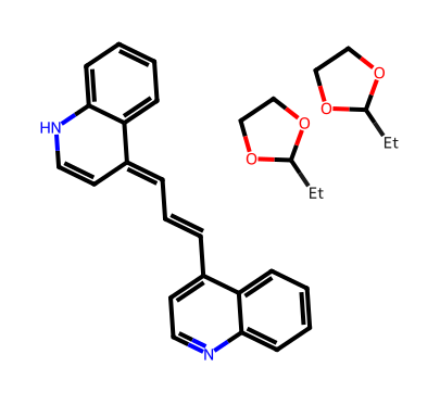 C(=Cc1ccnc2ccccc12)C=C1C=CNc2ccccc21.CCC1OCCO1.CCC1OCCO1